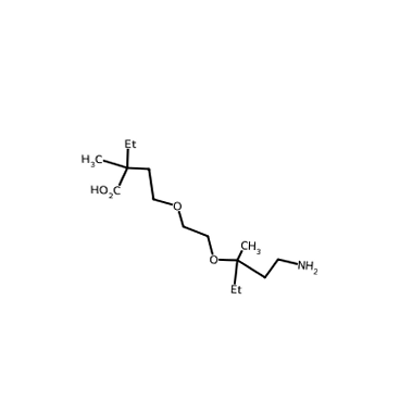 CCC(C)(CCN)OCCOCCC(C)(CC)C(=O)O